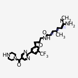 C=N\C(N)=C/C=C(C)/C=C/C(=O)NCc1cc2cc(-c3ncc(C(=O)N4CCNCC4)cn3)cc(C(F)(F)F)c2o1